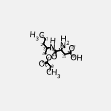 CCCC(COC(=O)CC)NC(=O)C(N)CC(=O)O